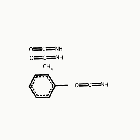 C.Cc1ccccc1.N=C=O.N=C=O.N=C=O